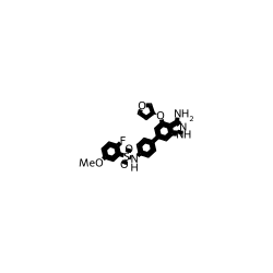 COc1ccc(F)c(S(=O)(=O)Nc2ccc(-c3cc(O[C@@H]4CCOC4)c4c(N)n[nH]c4c3)cc2)c1